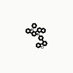 c1ccc(-n2c3ccccc3c3ccc4c(c5ccc6ccccc6c5n4-c4ccc(-c5cccc6oc7ccccc7c56)cc4)c32)cc1